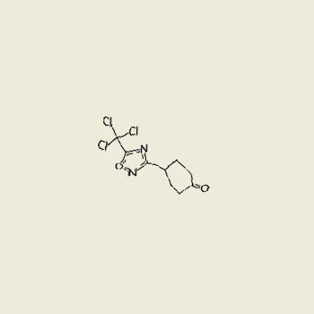 O=C1CCC(c2noc(C(Cl)(Cl)Cl)n2)CC1